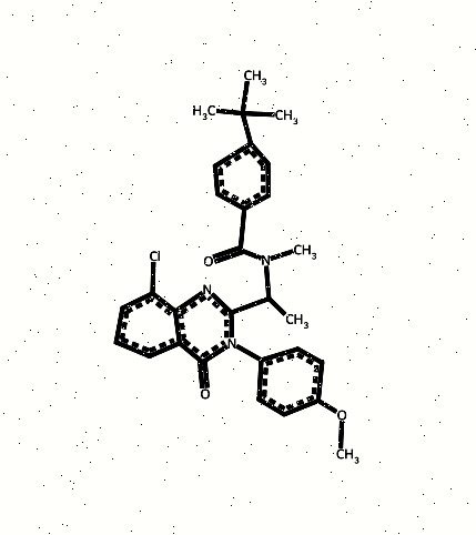 COc1ccc(-n2c(C(C)N(C)C(=O)c3ccc(C(C)(C)C)cc3)nc3c(Cl)cccc3c2=O)cc1